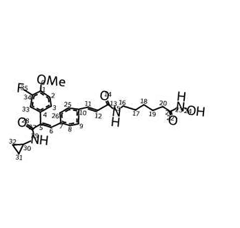 COc1ccc(/C(=C\c2ccc(/C=C/C(=O)NCCCCCC(=O)NO)cc2)C(=O)NC2CC2)cc1F